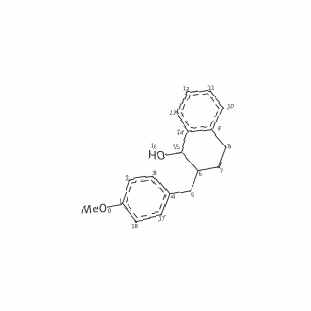 COc1ccc(CC2CCc3ccccc3C2O)cc1